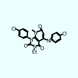 CCn1c(=O)c2c(Nc3ccc(Cl)cc3)cc(=O)n(C)c2n(-c2ccc(Cl)cc2)c1=O